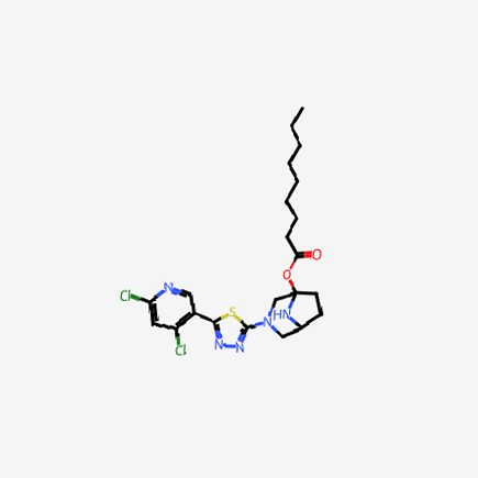 CCCCCCCCC(=O)OC12CCC(CN(c3nnc(-c4cnc(Cl)cc4Cl)s3)C1)N2